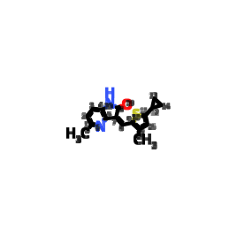 Cc1ccc2c(n1)C(=Cc1sc(C3CC3)cc1C)C(=O)N2